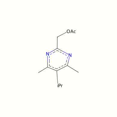 CC(=O)OCc1nc(C)c(C(C)C)c(C)n1